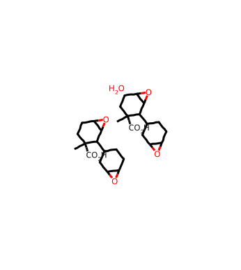 CC1(C(=O)O)CCC2OC2C1C1CCC2OC2C1.CC1(C(=O)O)CCC2OC2C1C1CCC2OC2C1.O